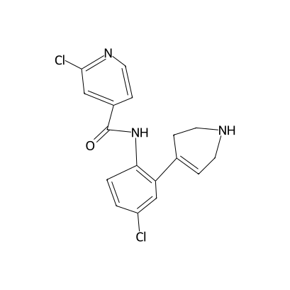 O=C(Nc1ccc(Cl)cc1C1=CCNCC1)c1ccnc(Cl)c1